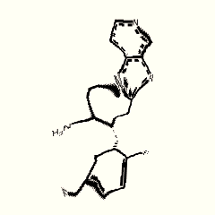 NC1Cn2c(nc3cnccc32)C[C@@H]1C1CC(F)=CC=C1F